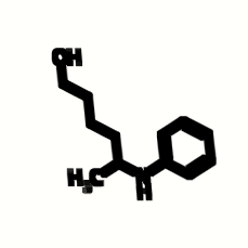 CC(CCCCO)Nc1ccccc1